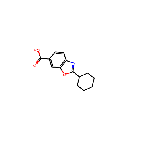 O=C(O)c1ccc2nc(C3CCCCC3)oc2c1